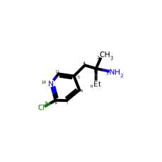 CCC(C)(N)Cc1ccc(Cl)nc1